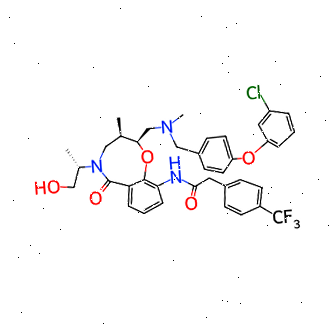 C[C@@H]1CN([C@@H](C)CO)C(=O)c2cccc(NC(=O)Cc3ccc(C(F)(F)F)cc3)c2O[C@@H]1CN(C)Cc1ccc(Oc2cccc(Cl)c2)cc1